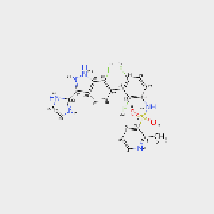 Cc1ncccc1S(=O)(=O)Nc1ccc(F)c(-c2ccc3c(-c4ncc[nH]4)n[nH]c3c2F)c1F